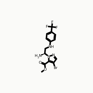 COC(=O)c1c(Br)cnn1[C@@H](N)CNc1ccc(C(F)(F)F)cc1